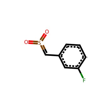 O=S(=O)=Cc1cc[c]c(F)c1